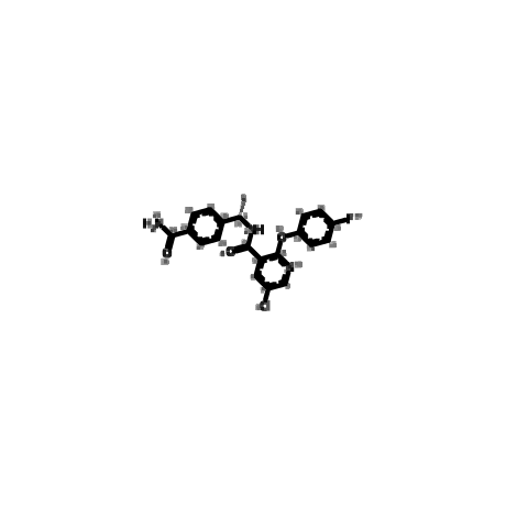 C[C@H](NC(=O)c1cc(Cl)cnc1Oc1ccc(F)cc1)c1ccc(C(N)=O)cc1